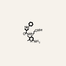 COCCOc1cc(N)nc(C)c1CNC(=O)c1cnn(-c2ccccc2)c1